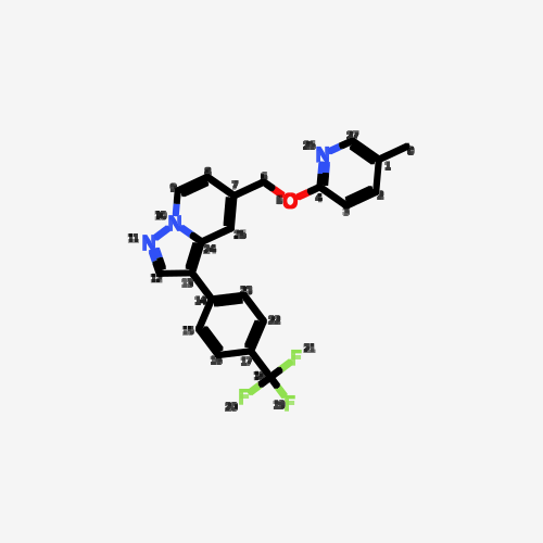 Cc1ccc(OCc2ccn3ncc(-c4ccc(C(F)(F)F)cc4)c3c2)nc1